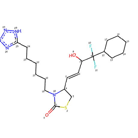 O=C1SCC(/C=C/C(O)C(F)(F)C2CCCCC2)N1CCCCCCc1nnn[nH]1